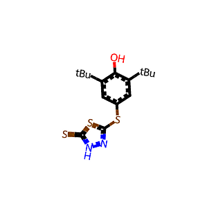 CC(C)(C)c1cc(Sc2n[nH]c(=S)s2)cc(C(C)(C)C)c1O